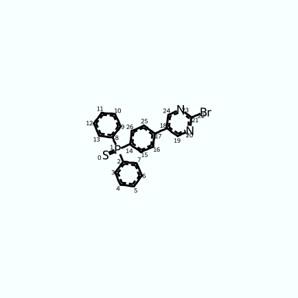 S=P(c1ccccc1)(c1ccccc1)c1ccc(-c2cnc(Br)nc2)cc1